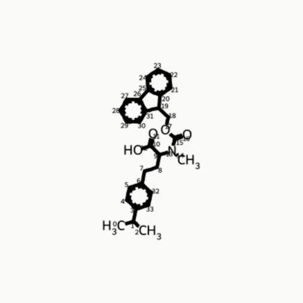 CC(C)c1ccc(CCC(C(=O)O)N(C)C(=O)OCC2c3ccccc3-c3ccccc32)cc1